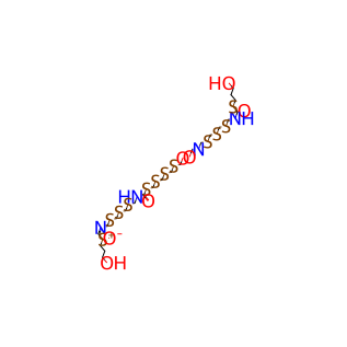 O=C(NCSCSCSC/N=C/OOCSCSCSCSC(=O)NCSCSCSC/N=C\[S+]([O-])CCCO)SCCCO